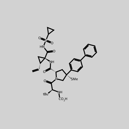 C=C[C@@H]1C[C@]1(NC(=O)[C@@H]1C[C@@](SC)(c2ccc(-c3ccccc3)cc2)CN1C(=O)[C@@H](NC(=O)O)C(C)(C)C)C(=O)NS(=O)(=O)C1CC1